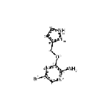 Nc1ncc(Br)nc1OCc1cc[nH]n1